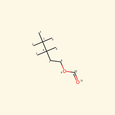 CC(C)(C)C(C)(C)CCO[C]=O